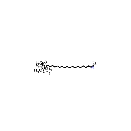 CC/C=C\CCCCCCCCCCCCCCCCCOP(=O)(O)C(CC)[N+](C)(C)C